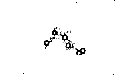 COc1cc(C#N)c(O[C@H]2CC[C@@](C)(C(=O)OCc3cccc4ccccc34)CC2)cc1C(=O)Nc1cc(C)ccc1C(=O)NCc1cccc(F)c1